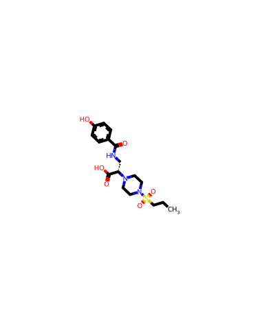 CCCS(=O)(=O)N1CCN([C@@H](CNC(=O)c2ccc(O)cc2)C(=O)O)CC1